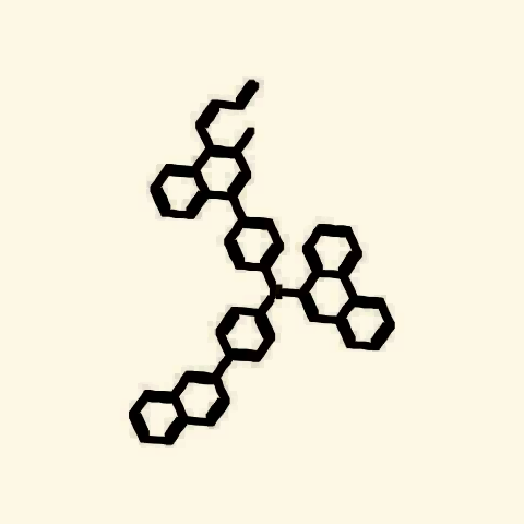 C=C/C=C\c1c(C)cc(-c2ccc(N(c3ccc(-c4ccc5ccccc5c4)cc3)c3cc4ccccc4c4ccccc34)cc2)c2ccccc12